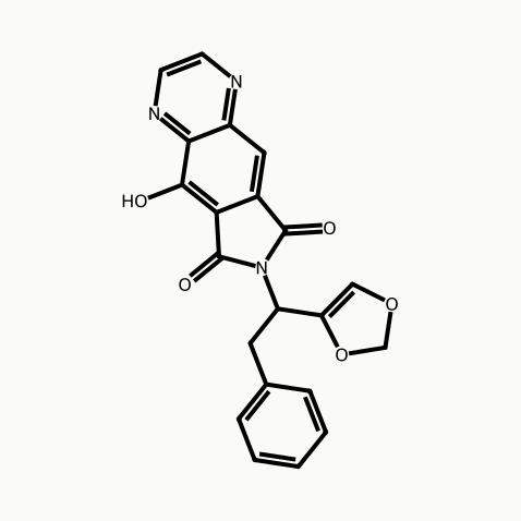 O=C1c2cc3nccnc3c(O)c2C(=O)N1C(Cc1ccccc1)C1=COCO1